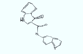 O=C(Nc1ccc2ncccc2c1)c1c[nH]c2ccccc2c1=O